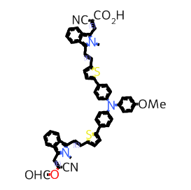 COc1ccc(N(c2ccc(-c3ccc(/C=C/c4c5ccccc5c(/C=C(\C#N)OC=O)n4C)s3)cc2)c2ccc(-c3ccc(/C=C/c4c5ccccc5c(/C=C(\C#N)C(=O)O)n4C)s3)cc2)cc1